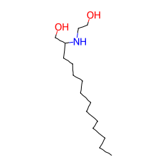 CCCCCCCCCCCCC(CO)NCCO